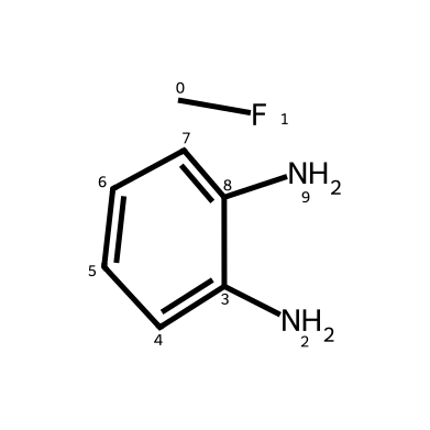 CF.Nc1ccccc1N